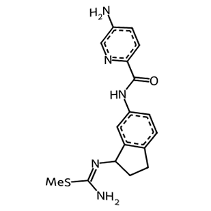 CS/C(N)=N/C1CCc2ccc(NC(=O)c3ccc(N)cn3)cc21